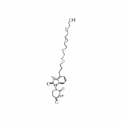 Cn1c(=O)n(C2CCC(=O)NC2=O)c2cccc(CCCOCCOCCOCCOCCO)c21